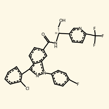 O=C(N[C@H](CO)c1ccc(C(F)(F)F)nc1)c1ccc2c(-c3ccccc3Cl)nn(-c3ccc(F)cc3)c2c1